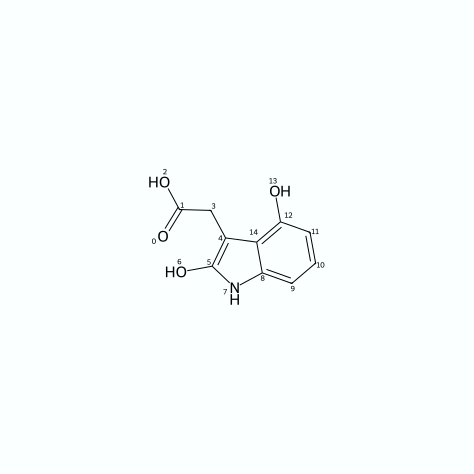 O=C(O)Cc1c(O)[nH]c2cccc(O)c12